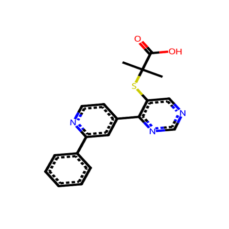 CC(C)(Sc1cncnc1-c1ccnc(-c2ccccc2)c1)C(=O)O